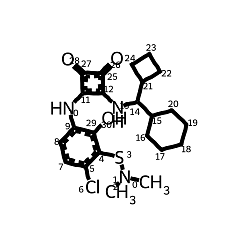 CN(C)Sc1c(Cl)ccc(Nc2c(NC(C3CCCCC3)C3CCC3)c(=O)c2=O)c1O